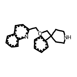 c1ccc(C2(COCc3ccc4ccccc4n3)CCNCC2)cc1